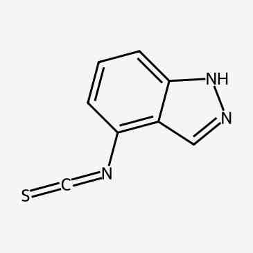 S=C=Nc1cccc2[nH]ncc12